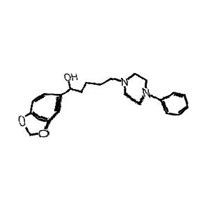 OC(CCCCN1CCN(c2ccccc2)CC1)c1ccc2c(c1)OCO2